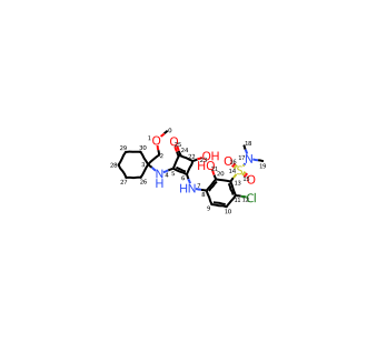 COCC1(NC2=C(Nc3ccc(Cl)c(S(=O)(=O)N(C)C)c3O)C(O)C2=O)CCCCC1